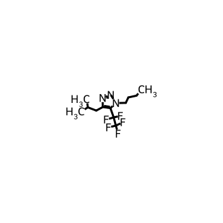 CCCCn1nnc(CC(C)C)c1C(F)(F)C(F)(F)F